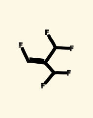 FC=C(C(F)F)C(F)F